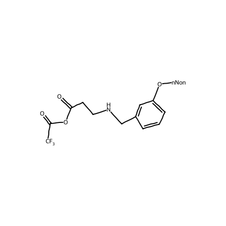 CCCCCCCCCOc1cccc(CNCCC(=O)OC(=O)C(F)(F)F)c1